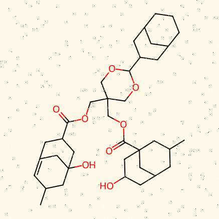 CC1C=C2CC(C(=O)OCC3(COC(=O)C45CC(C)CC(CC(O)C4)C5)COC(C4CC5CCCC(C5)C4)OC3)CC(O)(C2)C1